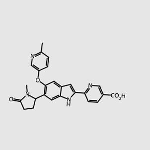 Cc1ccc(Oc2cc3cc(-c4ccc(C(=O)O)cn4)[nH]c3cc2C2CCC(=O)N2C)cn1